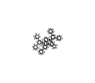 c1ccc(-c2cc(-c3ccccc3)cc(N3c4cc(-c5ccccc5)ccc4B4c5cc6c(cc5N(c5cc(-c7ccccc7)cc(-c7ccccc7)c5)c5cccc3c54)CCC6)c2)cc1